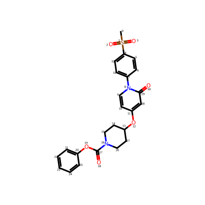 CS(=O)(=O)c1ccc(-n2ccc(OC3CCN(C(=O)Oc4ccccc4)CC3)cc2=O)cc1